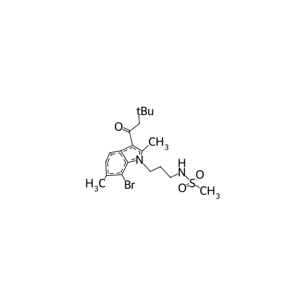 Cc1ccc2c(C(=O)CC(C)(C)C)c(C)n(CCCNS(C)(=O)=O)c2c1Br